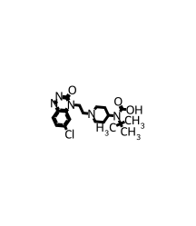 CC(C)(C)N(C(=O)O)C1CCN(CCn2c(=O)nnc3ccc(Cl)cc32)CC1